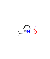 CC(C)Cc1cccc(C(=O)I)n1